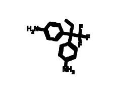 CCC(c1ccc(N)cc1)(c1ccc(N)cc1)C(F)(F)F